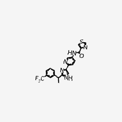 CC(c1cccc(C(F)(F)F)c1)c1nc(-c2ccc(NC(=O)c3cscn3)cn2)c[nH]1